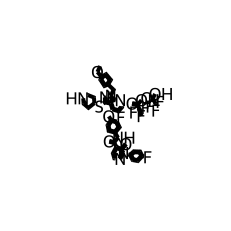 COc1ccc(Cn2nc(SC3CCNCC3)c3c(Oc4ccc(NC(=O)c5ccnn(-c6ccc(F)cc6)c5=O)cc4F)ccnc32)cc1.O=C(O)C(F)(F)F.O=C(O)C(F)(F)F